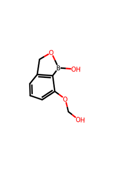 OCOc1cccc2c1B(O)OC2